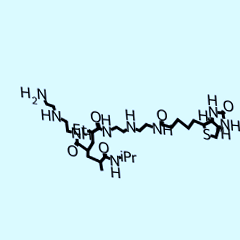 CCC(CC(CC(C)C(=O)NC(C)C)C(=O)NCCNCCN)C(=O)NCCNCCNC(=O)CCCCC1SC[C@H]2NC(=O)N[C@@H]12